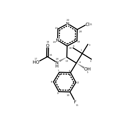 CC(C)(C)[C@@](O)(c1cccc(F)c1)[C@H](NC(=O)O)c1cc(Cl)ncn1